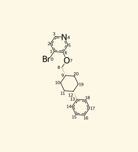 Brc1ccncc1OC[C@H]1CC[C@@H](c2ccccc2)CC1